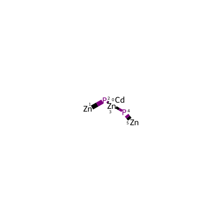 [Cd].[Zn]=[P][Zn][P]=[Zn]